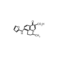 CC1CCc2c(Nc3ccco3)ccc3c(=O)c(C(=O)O)cn1c23